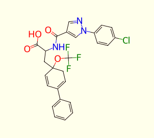 O=C(NC(CC1(OC(F)(F)F)C=CC(c2ccccc2)=CC1)C(=O)O)c1cnn(-c2ccc(Cl)cc2)c1